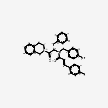 CCc1ccc(CN(C(=O)/C=C/c2ccc(C)cc2)[C@@H](Cc2ccccc2)C(=O)N2CCc3ccccc3C2)cc1